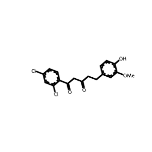 COc1cc(CCC(=O)CC(=O)c2ccc(Cl)cc2Cl)ccc1O